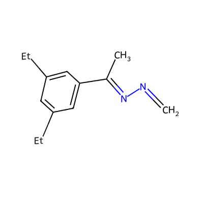 C=N/N=C(\C)c1cc(CC)cc(CC)c1